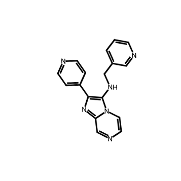 c1cncc(CNc2c(-c3ccncc3)nc3cnccn23)c1